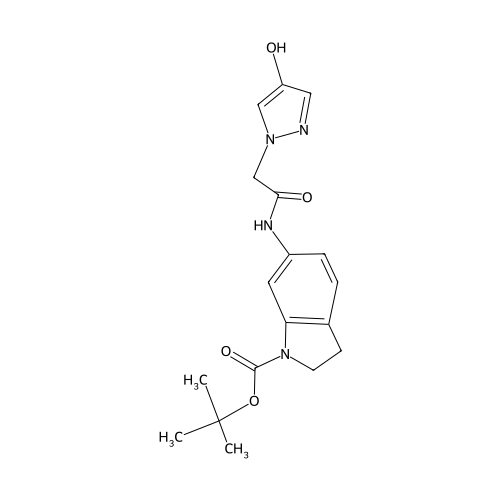 CC(C)(C)OC(=O)N1CCc2ccc(NC(=O)Cn3cc(O)cn3)cc21